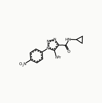 CCCc1c(C(=O)NC2CC2)nnn1-c1ccc([N+](=O)[O-])cc1